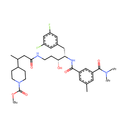 CCCN(CCC)C(=O)c1cc(C)cc(C(=O)N[C@@H](Cc2cc(F)cc(F)c2)[C@H](O)CCNC(=O)CC(C)C2CCN(C(=O)OC(C)(C)C)CC2)c1